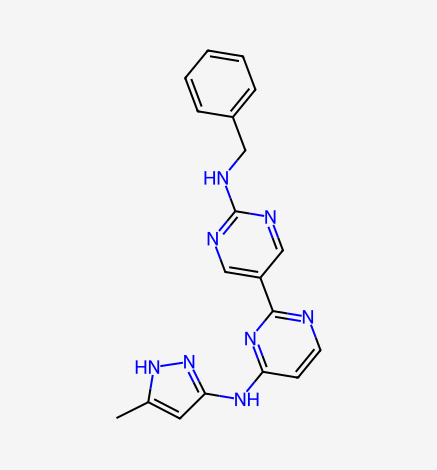 Cc1cc(Nc2ccnc(-c3cnc(NCc4ccccc4)nc3)n2)n[nH]1